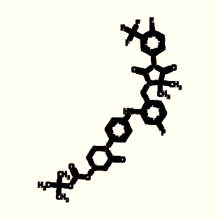 CC(C)(C)OC(=O)ON1CCN(c2ccc(Nc3cc(F)ccc3CN3C(=O)N(c4ccc(F)c(C(F)(F)F)c4)C(=O)C3(C)C)cc2)C(=O)C1